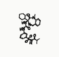 CC(C)C(=O)NS(=O)(=O)c1cccc(NC(=O)N[C@]2(C3CCCCC3)N=Cc3ccccc3N(C)C2=O)c1